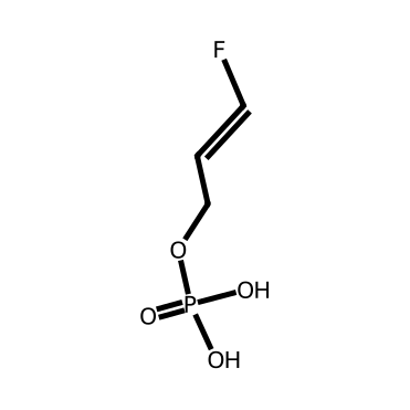 O=P(O)(O)OCC=CF